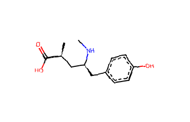 CN[C@@H](Cc1ccc(O)cc1)C[C@H](C)C(=O)O